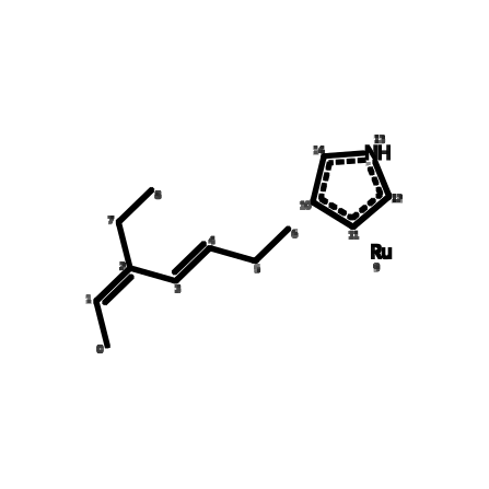 CC=C(C=CCC)CC.[Ru].c1cc[nH]c1